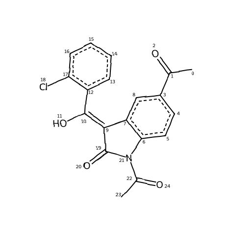 CC(=O)c1ccc2c(c1)/C(=C(/O)c1ccccc1Cl)C(=O)N2C(C)=O